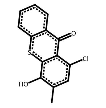 Cc1cc(Cl)c2c(=O)c3ccccc3sc2c1O